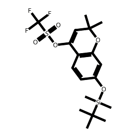 CC1(C)C=C(OS(=O)(=O)C(F)(F)F)c2ccc(O[Si](C)(C)C(C)(C)C)cc2O1